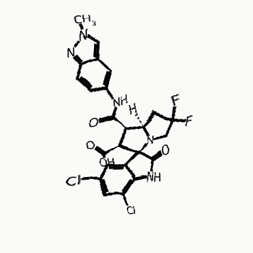 Cn1cc2cc(NC(=O)[C@H]3[C@H]4CC(F)(F)CN4[C@]4(C(=O)Nc5c(Cl)cc(Cl)cc54)[C@H]3C(=O)O)ccc2n1